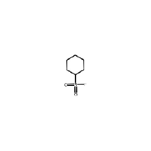 O=S(=O)(F)C1CCCCC1